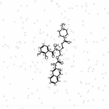 CC(C)N1CCN(C(=O)CC[C@@H](COC(=O)Nc2cc3ccccc3cn2)N(C)C(=O)c2cccc(F)c2Cl)CC1